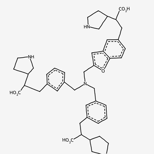 O=C(O)C(Cc1cccc(CN(Cc2cccc(CC(C(=O)O)C3CCNC3)c2)Cc2cc3cc(CC(C(=O)O)C4CCNC4)ccc3o2)c1)C1CCNC1